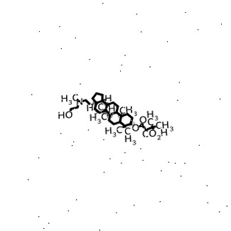 CN(CCO)CC[C@]12CCC[C@@H]1[C@H]1CCC3[C@@]4(C)CC[C@H](OC(=O)CC(C)(C)C(=O)O)C(C)(C)C4CC[C@@]3(C)[C@]1(C)CC2